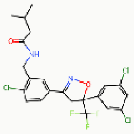 CC(C)CC(=O)NCc1cc(C2=NOC(c3cc(Cl)cc(Cl)c3)(C(F)(F)F)C2)ccc1Cl